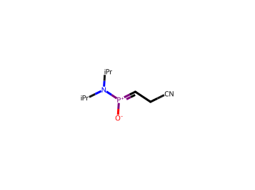 CC(C)N(C(C)C)/[P+]([O-])=C/CC#N